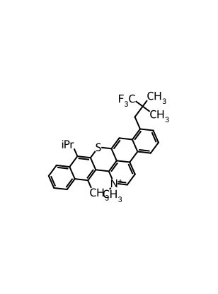 Cc1c2c(c(C(C)C)c3ccccc13)Sc1cc3c(CC(C)(C)C(F)(F)F)cccc3c3cc[n+](C)c-2c13